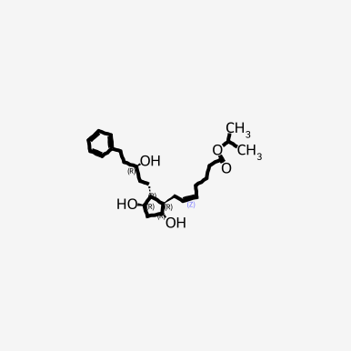 CC(C)OC(=O)CCC/C=C\C[C@@H]1[C@@H](CC[C@@H](O)CCc2ccccc2)[C@H](O)C[C@H]1O